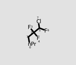 CCCCC(F)(F)C(F)Cl